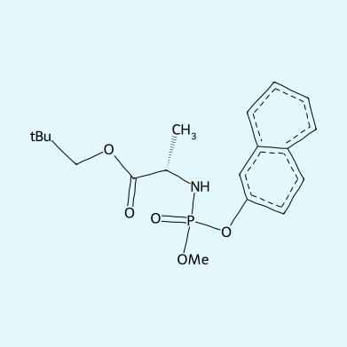 COP(=O)(N[C@@H](C)C(=O)OCC(C)(C)C)Oc1ccc2ccccc2c1